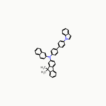 CC1(C)c2ccccc2-c2ccc(N(c3ccc(-c4ccc(-n5ccc6ccccc65)cc4)cc3)c3ccc4ccccc4c3)cc21